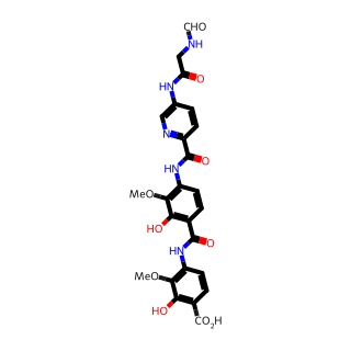 COc1c(NC(=O)c2ccc(NC(=O)c3ccc(NC(=O)CNC=O)cn3)c(OC)c2O)ccc(C(=O)O)c1O